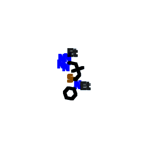 CCN(C(=S)CC(C)(C)Cc1nnnn1CC)C1CCCCC1